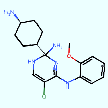 COc1ccccc1NC1=NC(N)([C@H]2CC[C@H](N)CC2)NC=C1Cl